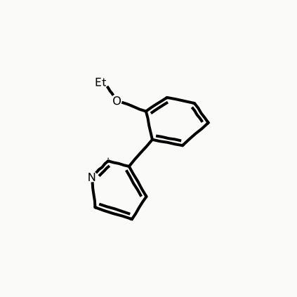 CCOc1ccccc1-c1[c]nccc1